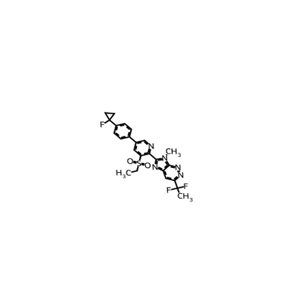 CCS(=O)(=O)c1cc(-c2ccc(C3(F)CC3)cc2)cnc1-c1nc2cc(C(C)(F)F)nnc2n1C